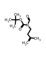 C=C(C)CCN(C=O)C(=O)OC(C)(C)C